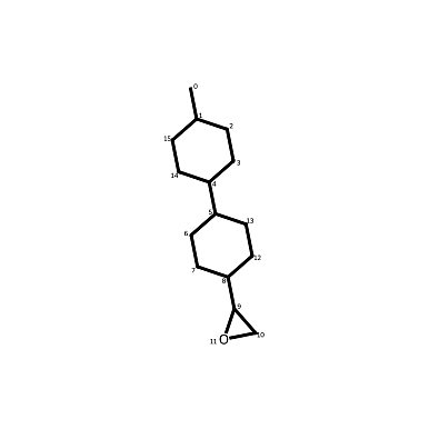 CC1CCC(C2CCC(C3CO3)CC2)CC1